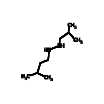 CC(C)CCNNCC(C)C